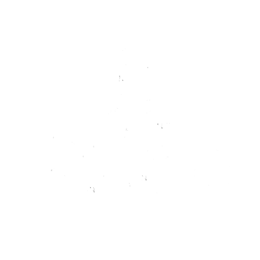 C=CC1=NC2CC(=C)[n+]3ccc(C4CCCCC4)cc3-c3cnc4c(oc5nc(C)cc(C)c54)c3CCC2c2ccccc21